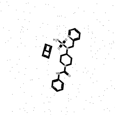 NS(=O)(=O)N(Cc1ccccn1)C1CCN(C(=O)Nc2ccccc2)CC1.c1cc2ccc1-2